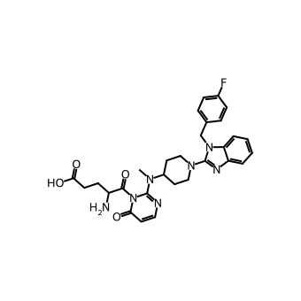 CN(c1nccc(=O)n1C(=O)C(N)CCC(=O)O)C1CCN(c2nc3ccccc3n2Cc2ccc(F)cc2)CC1